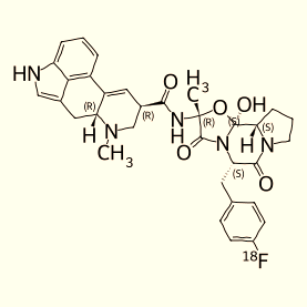 CN1C[C@H](C(=O)N[C@]2(C)O[C@@]3(O)[C@@H]4CCCN4C(=O)[C@H](Cc4ccc([18F])cc4)N3C2=O)C=C2c3cccc4[nH]cc(c34)C[C@H]21